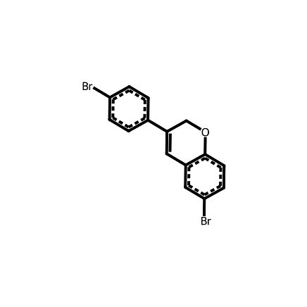 Brc1ccc(C2=Cc3cc(Br)ccc3OC2)cc1